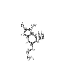 C#N.C#N.CC(C)n1c(=O)sc2cc(C=NN)ccc21